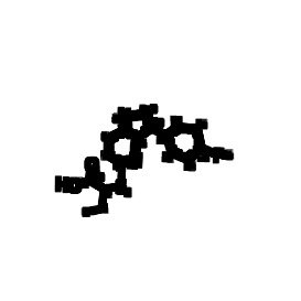 CCC(Sc1ccc2nnc(-c3ccc(F)cc3)n2n1)C(=O)O